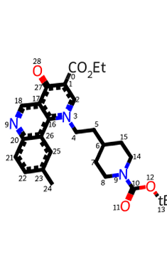 CCOC(=O)c1cn(CCC2CCN(C(=O)OC(C)(C)C)CC2)c2c(cnc3ccc(C)cc32)c1=O